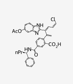 C=C(/C(=C\C=C/Cl)c1nc2cc(OC(C)=O)ccc2[nH]1)c1ccc(C(=O)N[C@H](CCC)c2ccccc2)cc1C(=O)O